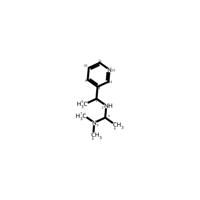 CC(NC(C)N(C)C)c1cccnc1